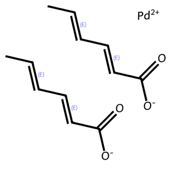 C/C=C/C=C/C(=O)[O-].C/C=C/C=C/C(=O)[O-].[Pd+2]